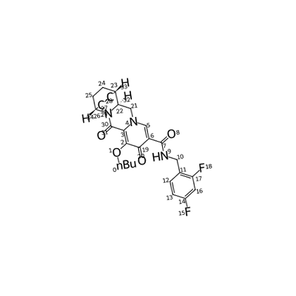 CCCCOc1c2n(cc(C(=O)NCc3ccc(F)cc3F)c1=O)C[C@@H]1[C@H]3CC[C@H](CC3)N1C2=O